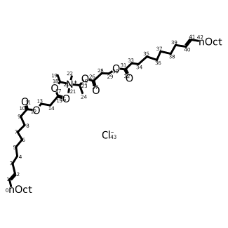 CCCCCCCCC=CCCCCCCCC(=O)OCCC(=O)OC(C)[N+](C)(C)C(C)OC(=O)CCOC(=O)CCCCCCCC=CCCCCCCCC.[Cl-]